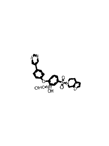 O=CNO.O=S(=O)(c1ccc(Oc2ccc(-c3cncnc3)cc2)cc1)N1CCc2ccoc2C1